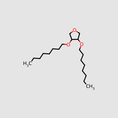 CCCCCCCCOC1COCC1OCCCCCCCC